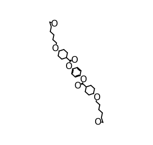 O=C(Oc1ccc(OC(=O)C2CCC(OCCCCC3CO3)CC2)cc1)C1CCC(OCCCCC2CO2)CC1